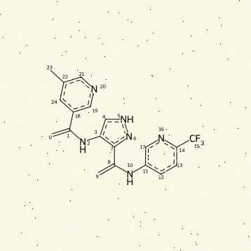 C=C(Nc1c[nH]nc1C(=C)Nc1ccc(C(F)(F)F)nc1)c1cncc(C)c1